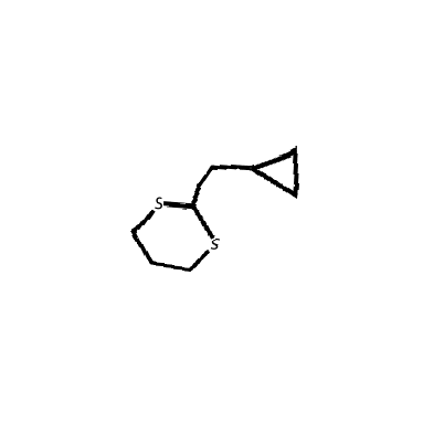 C1CSC(CC2CC2)SC1